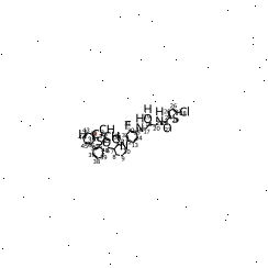 CC(C)(C)[Si](OCC1CCCN(c2ccc(NC[C@@H](O)CNC(=O)c3ccc(Cl)s3)c(F)c2)C1=O)(c1ccccc1)c1ccccc1